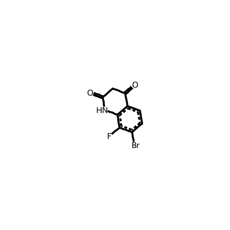 O=C1CC(=O)c2ccc(Br)c(F)c2N1